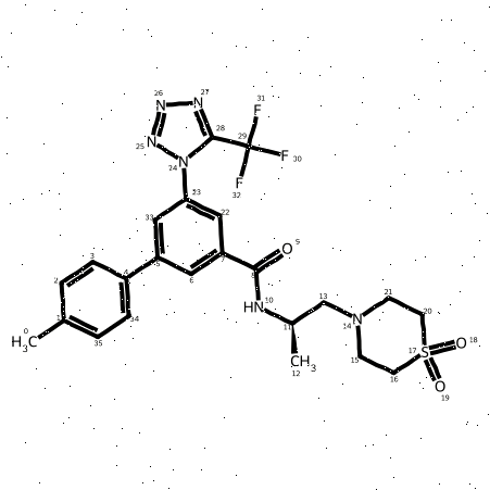 Cc1ccc(-c2cc(C(=O)N[C@H](C)CN3CCS(=O)(=O)CC3)cc(-n3nnnc3C(F)(F)F)c2)cc1